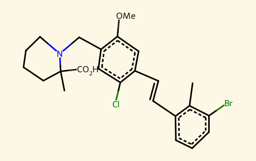 COc1cc(C=Cc2cccc(Br)c2C)c(Cl)cc1CN1CCCCC1(C)C(=O)O